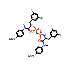 COc1ccc(N(C)C(=O)C(Cc2cc(F)cc(F)c2)NS(=O)(=O)CS(=O)(=O)C[C@@H](Cc2cc(F)cc(F)c2)C(=O)N(C)c2ccc(OC)cc2)cc1